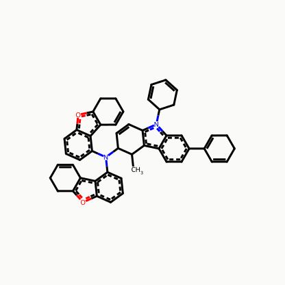 CC1c2c(n(C3C=CC=CC3)c3cc(C4=CCCC=C4)ccc23)C=CC1N(c1cccc2oc3c(c12)C=CCC3)c1cccc2oc3c(c12)C=CCC3